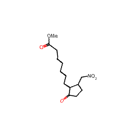 COC(=O)CCCCCCC1C(=O)CCC1C[N+](=O)[O-]